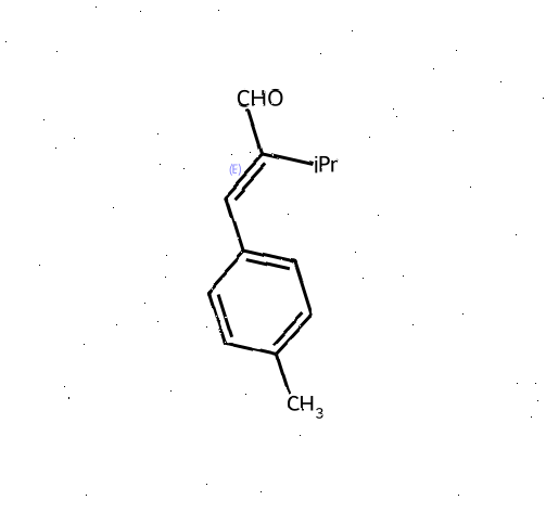 Cc1ccc(/C=C(/C=O)C(C)C)cc1